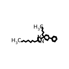 CCCCCCCCc1cnc(C2(CCCCC)C=CC(c3ccccc3)C=C2)nc1